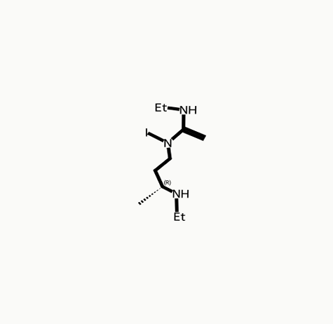 C=C(NCC)N(I)CC[C@@H](C)NCC